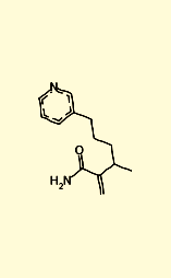 C=C(C(N)=O)C(C)CCCc1cccnc1